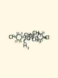 CC(C)(OOC(C)(C)c1ccc(Cl)cc1)c1ccc(Cl)cc1